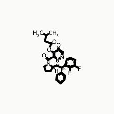 CC(C)CC(=O)Oc1c2n(ncc1=O)[C@@H]([C@H](c1ccccc1)c1cccc(F)c1F)[C@H]1CCCN1C2=O